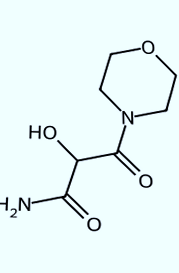 NC(=O)C(O)C(=O)N1CCOCC1